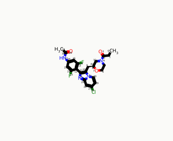 CCC(=O)N1CCO[C@@H](Cc2c(-c3c(F)cc(NC(C)=O)cc3F)nc3cc(Cl)ccn23)C1